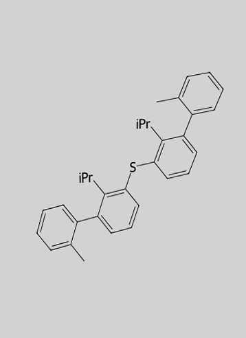 Cc1ccccc1-c1cccc(Sc2cccc(-c3ccccc3C)c2C(C)C)c1C(C)C